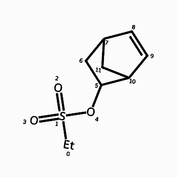 CCS(=O)(=O)OC1CC2C=CC1C2